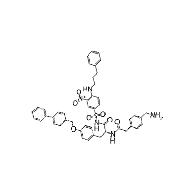 NCc1ccc(CC(=O)NC(Cc2ccc(OCc3ccc(-c4ccccc4)cc3)cc2)C(=O)NS(=O)(=O)c2ccc(NCCCc3ccccc3)c([N+](=O)[O-])c2)cc1